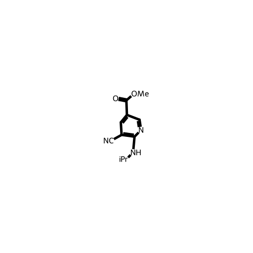 COC(=O)c1cnc(NC(C)C)c(C#N)c1